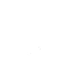 COC1=CCC(C2=CCCc3ccccc32)C=C1SC